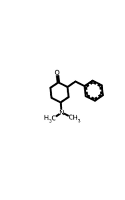 CN(C)C1CCC(=O)C(Cc2ccccc2)C1